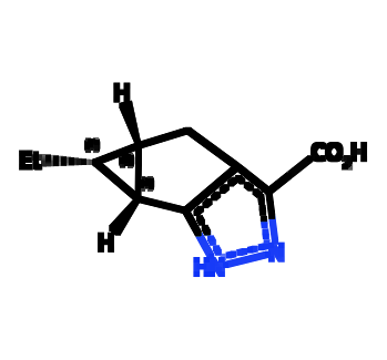 CC[C@@H]1[C@@H]2Cc3c(C(=O)O)n[nH]c3[C@H]12